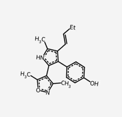 CCC=Cc1c(C)[nH]c(-c2c(C)noc2C)c1-c1ccc(O)cc1